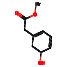 CC(C)OC(=O)CC1=CC=CC(O)C1